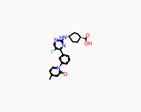 Cc1ccn(-c2cccc(-c3nc(N[C@H]4CC[C@H](C(=O)O)CC4)ncc3F)c2)c(=O)c1